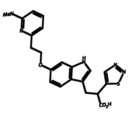 CNc1cccc(CCOc2ccc3c(CC(C(=O)O)c4cnns4)c[nH]c3c2)n1